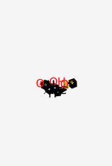 C[C@H]1C[C@@H]2[C@H]([C@@H](O)C[C@]3(C)C(=C=C[S+]([O-])c4ccccc4)CC[C@@H]23)[C@@]2(C)CCC(=O)C=C12